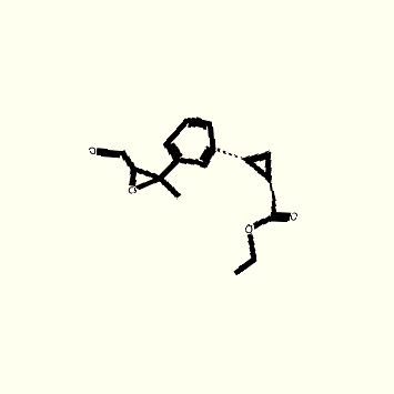 CCOC(=O)[C@@H]1C[C@H]1c1cccc(C2(C)OC2C=O)c1